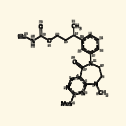 CSc1ncc2c(n1)N(C)CCN(c1cccc(C(C)CCOC(=O)NC(C)(C)C)c1)C2=O